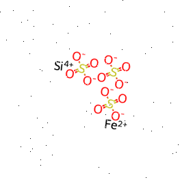 O=S(=O)([O-])[O-].O=S(=O)([O-])[O-].O=S(=O)([O-])[O-].[Fe+2].[Si+4]